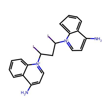 Nc1cc[n+](C(I)CC(I)[n+]2ccc(N)c3ccccc32)c2ccccc12